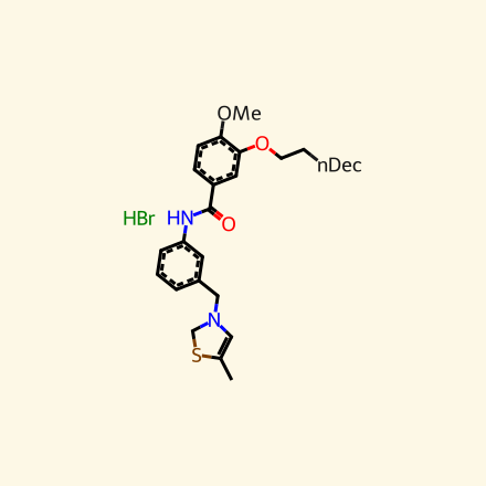 Br.CCCCCCCCCCCCOc1cc(C(=O)Nc2cccc(CN3C=C(C)SC3)c2)ccc1OC